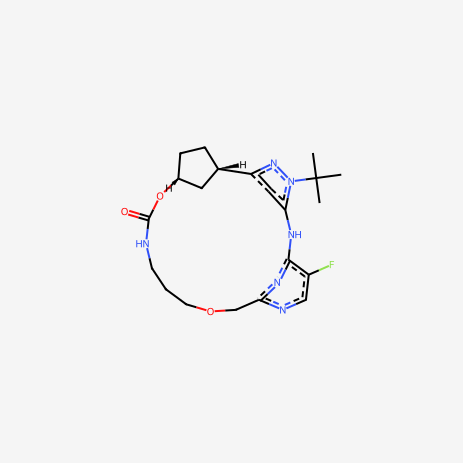 CC(C)(C)n1nc2cc1Nc1nc(ncc1F)COCCCNC(=O)O[C@@H]1CC[C@H]2C1